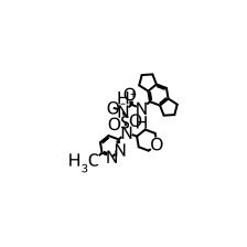 Cc1ccc(N(C2CCOCC2)S(=O)(=O)[NH+]([O-])C(=O)Nc2c3c(cc4c2CCC4)CCC3)nn1